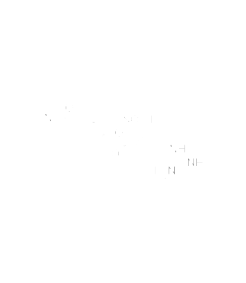 CN(C)C(=O)Cc1ccc(OC(=O)c2ccc(NC(=N)N)cc2)cc1.CS(=O)(=O)O